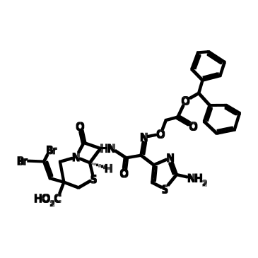 Nc1nc(C(=NOCC(=O)OC(c2ccccc2)c2ccccc2)C(=O)NC2C(=O)N3CC(C=C(Br)Br)(C(=O)O)CS[C@H]23)cs1